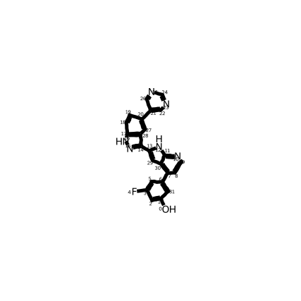 Oc1cc(F)cc(-c2ccnc3[nH]c(-c4n[nH]c5ccc(-c6cncnc6)cc45)cc23)c1